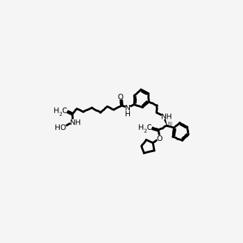 C=C(CCCCCCC(=O)Nc1cccc(CCN[C@H](C(=C)OC2CCCC2)c2ccccc2)c1)NO